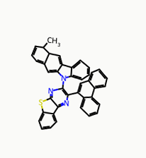 CC1C=CC=C2C=c3c(c4ccccc4n3-c3nc4sc5ccccc5c4nc3-c3cc4ccccc4c4ccccc34)=CC21